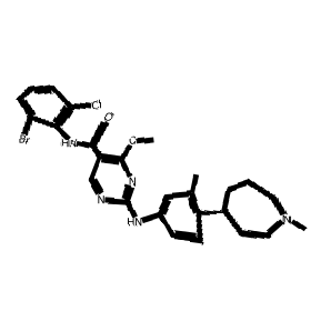 COc1nc(Nc2ccc([C@H]3CCCN(C)CC3)c(C)c2)ncc1C(=O)Nc1c(Cl)cccc1Br